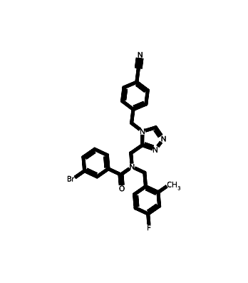 Cc1cc(F)ccc1CN(Cc1nncn1Cc1ccc(C#N)cc1)C(=O)c1cccc(Br)c1